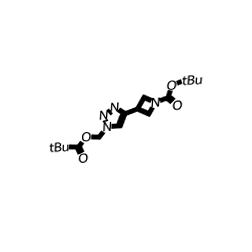 CC(C)(C)OC(=O)N1CC(c2cn(COC(=O)C(C)(C)C)nn2)C1